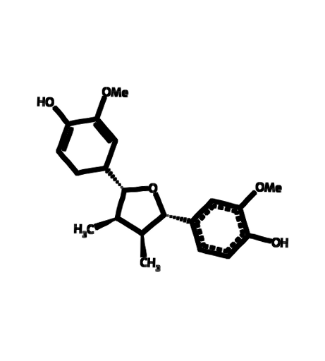 COC1=CC([C@@H]2O[C@H](c3ccc(O)c(OC)c3)[C@@H](C)[C@H]2C)CC=C1O